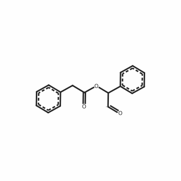 O=[C]C(OC(=O)Cc1ccccc1)c1ccccc1